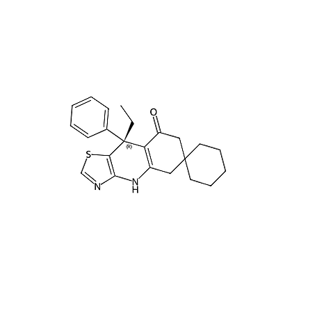 CC[C@@]1(c2ccccc2)C2=C(CC3(CCCCC3)CC2=O)Nc2ncsc21